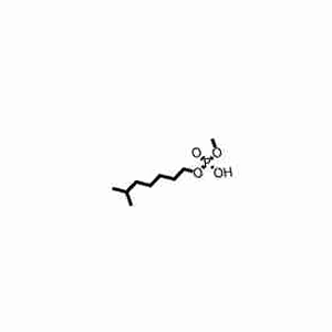 COP(=O)(O)OCCCCCC(C)C